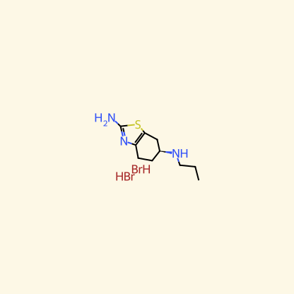 Br.Br.CCCN[C@H]1CCc2nc(N)sc2C1